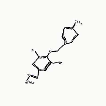 CCCCCC/N=C/c1cc(Br)c(OCc2ccc(C)cc2)c(Br)c1